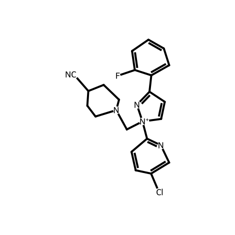 N#CC1CCN(C[N+]2(c3ccc(Cl)cn3)C=CC(c3ccccc3F)=N2)CC1